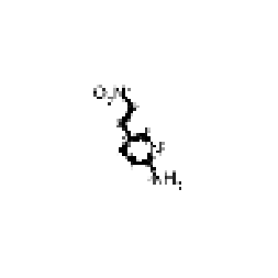 Nc1ccc(C=C[N+](=O)[O-])cn1